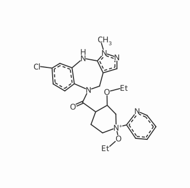 CCOC1C[N+](OCC)(c2ccccn2)CCC1C(=O)N1Cc2cnn(C)c2Nc2cc(Cl)ccc21